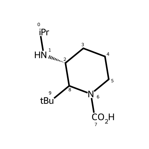 CC(C)N[C@@H]1CCCN(C(=O)O)C1C(C)(C)C